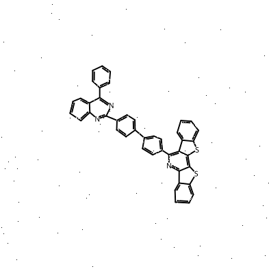 c1ccc(-c2nc(-c3ccc(-c4ccc(-c5nc6c7ccccc7sc6c6sc7ccccc7c56)cc4)cc3)nc3ccccc23)cc1